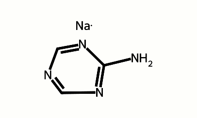 Nc1ncncn1.[Na]